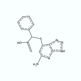 Nc1cc(SC(C(=O)O)c2ccccc2)c2nn[nH]c2n1